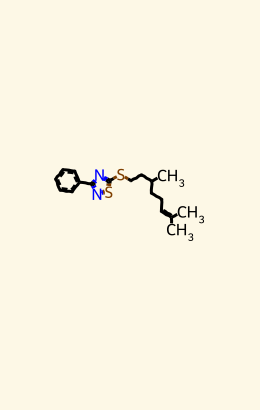 CC(C)=CCCC(C)CCSc1nc(-c2ccccc2)ns1